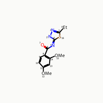 CCC1=N[N]C(=NC(=O)c2ccc(OC)cc2OC)S1